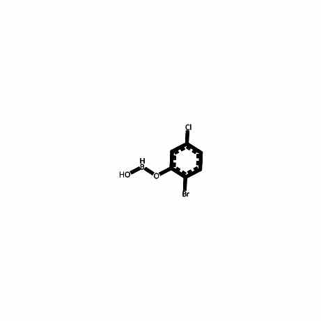 OBOc1cc(Cl)ccc1Br